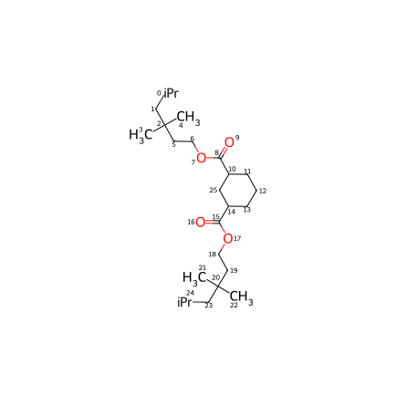 CC(C)CC(C)(C)CCOC(=O)C1CCCC(C(=O)OCCC(C)(C)CC(C)C)C1